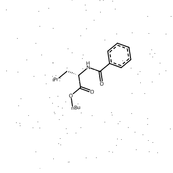 CCCCOC(=O)[C@H](CC(C)C)NC(=O)c1ccccc1